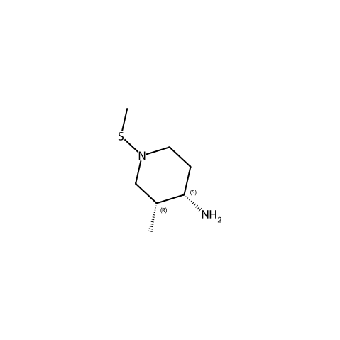 CSN1CC[C@H](N)[C@H](C)C1